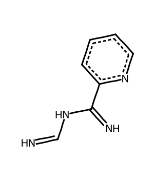 N=CNC(=N)c1ccccn1